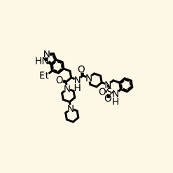 CCc1cc(CC(NC(=O)N2CCC(N3Cc4ccccc4NS3(=O)=O)CC2)C(=O)N2CCC(N3CCCCC3)CC2)cc2cn[nH]c12